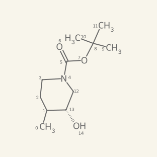 CC1CCN(C(=O)OC(C)(C)C)C[C@@H]1O